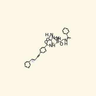 C[C@@H](NCC(=O)BC[C@H](NC(=O)c1ccc(C#C/C=C/c2ccccc2)cc1)C(=O)N(N)O)c1ccccc1